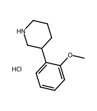 COc1ccccc1C1CCCNC1.Cl